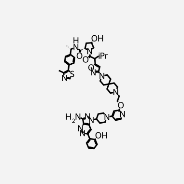 Cc1ncsc1-c1ccc([C@H](C)NC(=O)[C@@H]2C[C@@H](O)CN2C(=O)C(c2cc(N3CCC4(CCN(CCOc5cc(N6CCC(n7nc(N)c8nnc(-c9ccccc9O)cc87)CC6)ccn5)CC4)CC3)no2)C(C)C)cc1